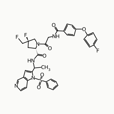 CC(NC(=O)[C@@H]1C[C@](F)(CF)CN1C(=O)CNC(=O)c1ccc(Oc2ccc(F)cc2)cc1)c1cc2cnccc2n1S(=O)(=O)c1ccccc1